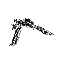 O.O.O.O.O.O.O.O.O.O=C(O)O.O=C(O)O.O=C(O)O.O=C(O)O.O=C(O)O.O=C(O)O.O=C(O)O.O=C(O)O.O=C(O)O.[Al+3].[Al+3].[Al+3].[Al+3].[Al+3].[Ca+2].[Ca+2].[Ca+2].[Ca+2].[Ca+2].[O-2].[O-2].[O-2].[O-2].[O-2].[O-2].[O-2].[O-2].[O-2].[Zn+2].[Zn+2].[Zn+2].[Zn+2].[Zn+2].[Zn+2].[Zn+2].[Zn+2].[Zn+2].[Zn+2]